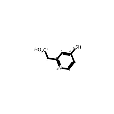 O=C(O)Cc1cc(S)ccn1